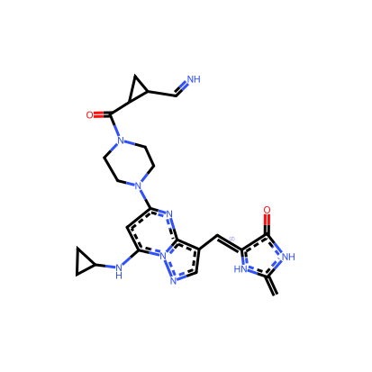 C=c1[nH]c(=O)/c(=C/c2cnn3c(NC4CC4)cc(N4CCN(C(=O)C5CC5C=N)CC4)nc23)[nH]1